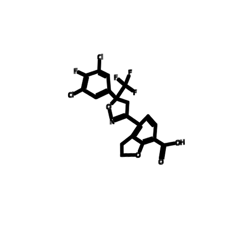 O=C(O)c1ccc(C2=NOC(c3cc(Cl)c(F)c(Cl)c3)(C(F)(F)F)C2)c2c1OCC2